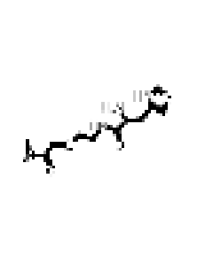 CN(C)C(=O)COCCNC(=O)C(N)Cc1cnc[nH]1